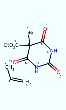 C=CC.CCOC(=O)C1(C(C)CC)C(=O)NC(=O)NC1=O